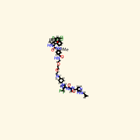 COc1cc(C(=O)NCCOCCOCCN(C)CC2CCC(n3cc(NC(=O)c4coc(-c5ccnc(NCC6CC6)c5)n4)c(C(F)F)n3)CC2)ccc1NC(=O)[C@@H]1N[C@@H](CC(C)(C)C)[C@](C#N)(c2ccc(Cl)cc2F)[C@H]1c1cccc(Cl)c1F